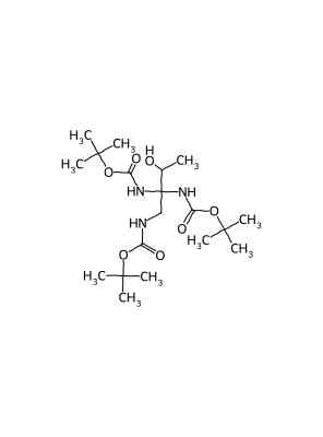 CC(O)C(CNC(=O)OC(C)(C)C)(NC(=O)OC(C)(C)C)NC(=O)OC(C)(C)C